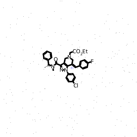 CCOC(=O)CN1C/C(=C\c2ccc(F)cc2)c2c(c(C(=O)N(C)[C@H](C)c3ccccc3)nn2-c2ccc(Cl)cc2)C1